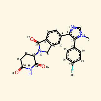 Cn1cnc(-c2ccc3c(c2)CN([C@@H]2CCC(=O)NC2=O)C3=O)c1-c1ccc(F)cc1